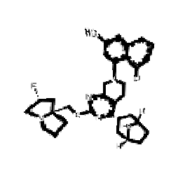 Oc1cc(N2CCc3c(nc(OC[C@@]45CCCN4C[C@H](F)C5)nc3[C@H]3C[C@H]4CC[C@@H](C3)N4)C2)c2c(Cl)cccc2c1